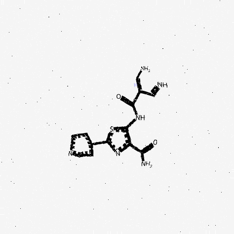 N=C/C(=C\N)C(=O)Nc1sc(-c2ccncc2)nc1C(N)=O